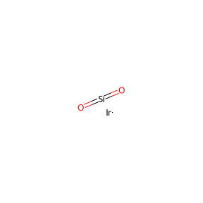 O=[Si]=O.[Ir]